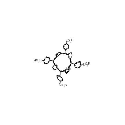 O=C(O)c1ccc(-c2c3nc(c(-c4ccc(C(=O)O)cc4)c4ccc([nH]4)c(-c4ccc(C(=O)O)cc4)c4nc(c(-c5ccc(C(=O)O)cc5)c5ccc2[nH]5)CC4)C=C3)cc1